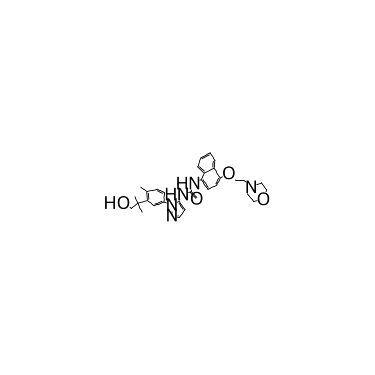 Cc1ccc(-n2nccc2NC(=O)Nc2ccc(OCCN3CCOCC3)c3ccccc23)cc1C(C)(C)CO